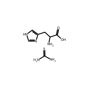 NC(Cc1c[nH]cn1)C(=O)O.NC(N)=S